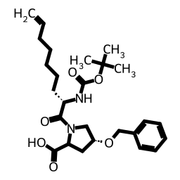 C=CCCCCC[C@H](NC(=O)OC(C)(C)C)C(=O)N1C[C@H](OCc2ccccc2)CC1C(=O)O